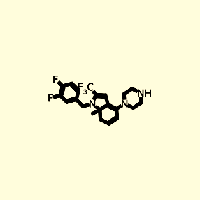 CC12CC=CC(N3CCNCC3)=C1C=C(C(F)(F)F)N2Cc1ccc(F)c(F)c1